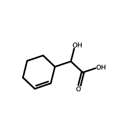 O=C(O)C(O)C1C=CCCC1